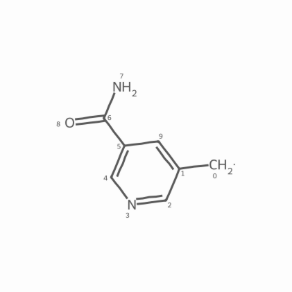 [CH2]c1cncc(C(N)=O)c1